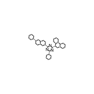 c1ccc(-c2ccc3cc(-c4nc(-c5ccccc5)nc(-c5cc6ccccc6c6ccccc56)n4)ccc3c2)cc1